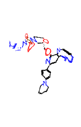 NS(=O)(=O)N1CCO[C@H](COc2nc(-c3ccc(N4CCCCC4)cc3)cc3nccnc23)C1